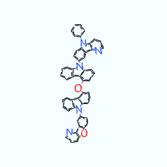 c1ccc(-n2c3ccc(-n4c5ccccc5c5c(Oc6cccc7c6c6ccccc6n7-c6ccc7oc8cccnc8c7c6)cccc54)cc3c3ncccc32)cc1